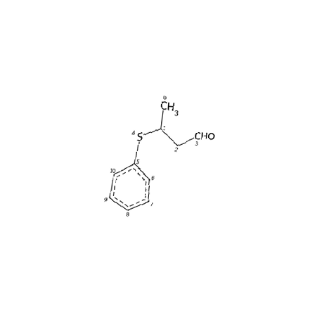 CC(CC=O)Sc1ccccc1